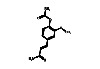 COc1cc(C=CC(N)=O)ccc1OC(N)=O